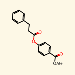 COC(=O)c1ccc(OC(=O)CCc2ccccc2)cc1